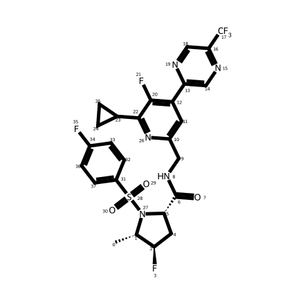 C[C@H]1[C@H](F)C[C@@H](C(=O)NCc2cc(-c3cnc(C(F)(F)F)cn3)c(F)c(C3CC3)n2)N1S(=O)(=O)c1ccc(F)cc1